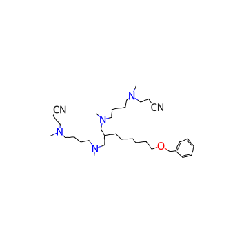 CN(CCC#N)CCCCN(C)CC(CCCCCCOCc1ccccc1)CN(C)CCCCN(C)CCC#N